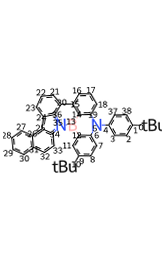 CC(C)(C)c1ccc(N2c3ccc(C(C)(C)C)cc3B3c4c(cccc42)-c2cccc4c5c6ccccc6ccc5n3c24)cc1